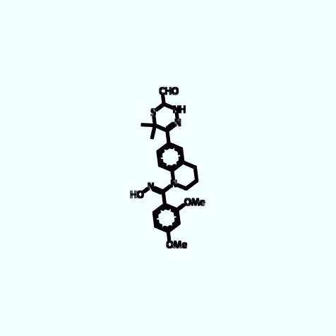 COc1ccc(C(=NO)N2CCCc3cc(C4=NNC(C=O)SC4(C)C)ccc32)c(OC)c1